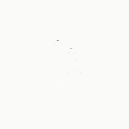 COc1ccc(N(C)c2cc3ncc(-c4cc(NC(=O)c5noc6c5CC(C)CC6)ccc4C)cc3cn2)cc1